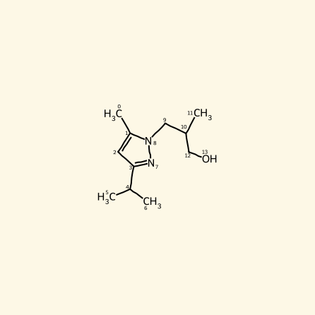 Cc1cc(C(C)C)nn1CC(C)CO